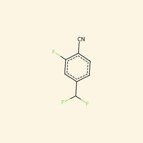 N#Cc1ccc(C(F)F)cc1F